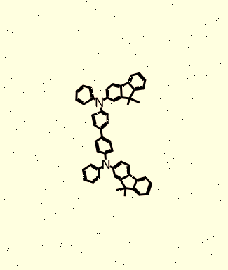 CC1(C)c2ccccc2-c2ccc(N(c3ccccc3)c3ccc(-c4ccc(N(c5ccccc5)c5ccc6c(c5)C(C)(C)c5ccccc5-6)cc4)cc3)cc21